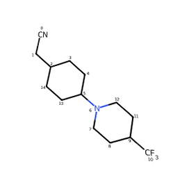 N#CCC1CCC(N2CCC(C(F)(F)F)CC2)CC1